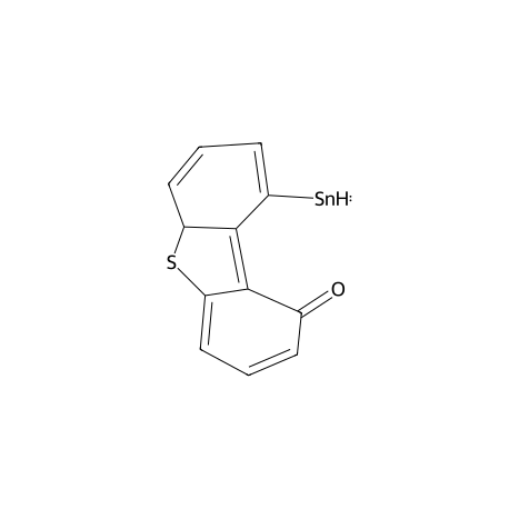 O=C1C=CC=C2SC3C=CC=[C]([SnH])C3=C12